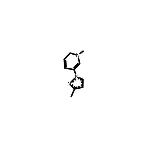 Cc1ccn(C2=CN(C)CC=C2)n1